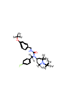 [2H]C([2H])(Oc1ccc(CNC(=O)N(C2CC([2H])([2H])N(C([2H])([2H])[2H])C([2H])([2H])C2)C([2H])([2H])c2ccc(F)cc2)cc1)C(C)C